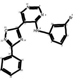 Brc1cccc(Nc2ncncc2-c2nc(-c3ccccc3)no2)c1